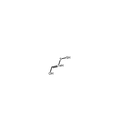 OC=[TeH]SS